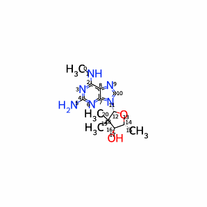 CNc1nc(N)nc2c1ncn2[C@@H]1O[C@H](C)[C@@H](O)C1(C)C